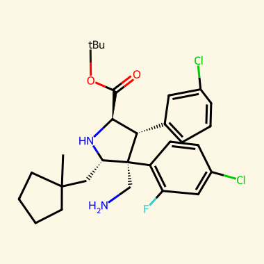 CC1(C[C@@H]2N[C@@H](C(=O)OC(C)(C)C)[C@H](c3cccc(Cl)c3)[C@@]2(CN)c2ccc(Cl)cc2F)CCCC1